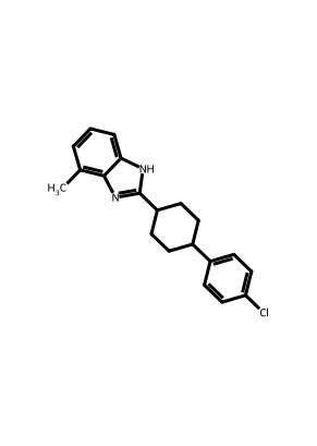 Cc1cccc2[nH]c(C3CCC(c4ccc(Cl)cc4)CC3)nc12